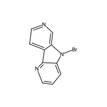 Brn1c2cnccc2c2ncccc21